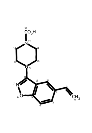 C=Cc1ccc2onc(N3CCN(C(=O)O)CC3)c2c1